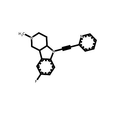 CN1CCC2C(C1)c1cc(F)ccc1N2C#Cc1ccccn1